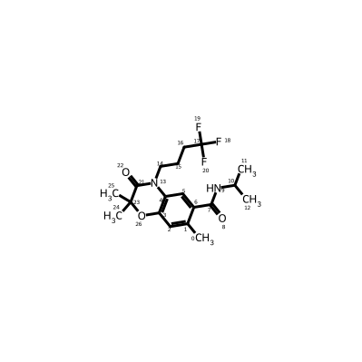 Cc1cc2c(cc1C(=O)NC(C)C)N(CCCC(F)(F)F)C(=O)C(C)(C)O2